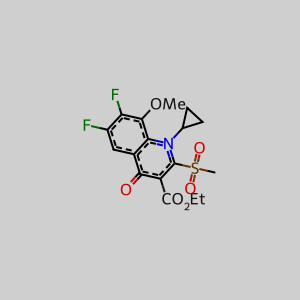 CCOC(=O)c1c(S(C)(=O)=O)n(C2CC2)c2c(OC)c(F)c(F)cc2c1=O